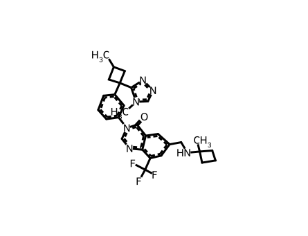 CC1CC(c2cccc(-n3cnc4c(C(F)(F)F)cc(CNC5(C)CCC5)cc4c3=O)c2)(c2nncn2C)C1